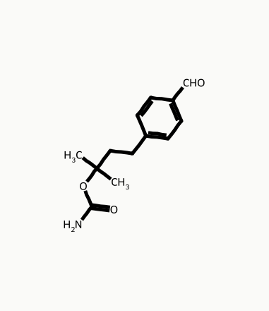 CC(C)(CCc1ccc(C=O)cc1)OC(N)=O